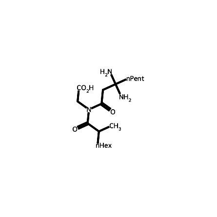 CCCCCCC(C)C(=O)N(CC(=O)O)C(=O)CC(N)(N)CCCCC